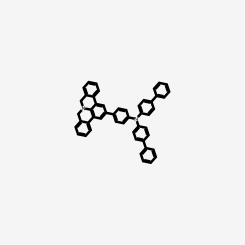 c1ccc(-c2ccc(N(c3ccc(-c4ccccc4)cc3)c3ccc(-c4cc5c6c(c4)-c4ccccc4CN6Cc4ccccc4-5)cc3)cc2)cc1